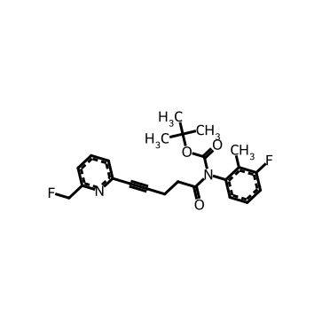 Cc1c(F)cccc1N(C(=O)CCC#Cc1cccc(CF)n1)C(=O)OC(C)(C)C